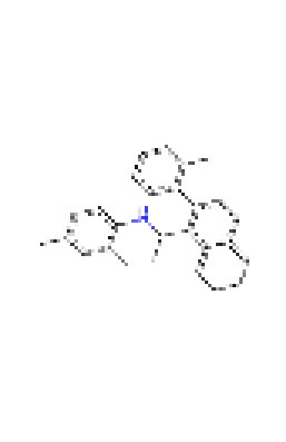 Cc1ccc(NC(C)c2c(-c3ccccc3C)ccc3c2=CCCC=3)c(C)c1